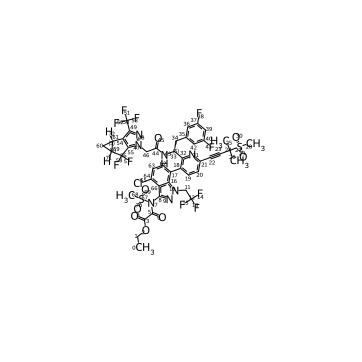 CCOC(=O)C(=O)N(c1nn(CC(F)(F)F)c2c(-c3ccc(C#CC(C)(C)S(C)(=O)=O)nc3[C@H](Cc3cc(F)cc(F)c3)NC(=O)Cn3nc(C(F)(F)F)c4c3C(F)(F)[C@@H]3C[C@H]43)ccc(Cl)c12)S(C)(=O)=O